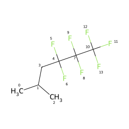 CC(C)CC(F)(F)C(F)(F)C(F)(F)F